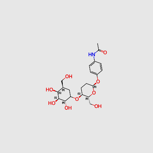 CC(=O)Nc1ccc(O[C@@H]2CC[C@H](OC3C[C@H](CO)[C@H](O)[C@H](O)[C@H]3O)[C@@H](CO)O2)cc1